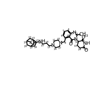 Cc1nc2cccc(CN3CCN(CCCNC45CC6CC(CC4C6)C5)CC3)c2c(=O)n1C1CCC(=O)NC1=O